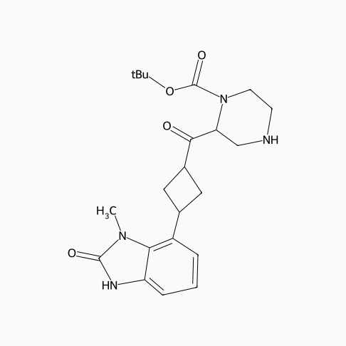 Cn1c(=O)[nH]c2cccc(C3CC(C(=O)C4CNCCN4C(=O)OC(C)(C)C)C3)c21